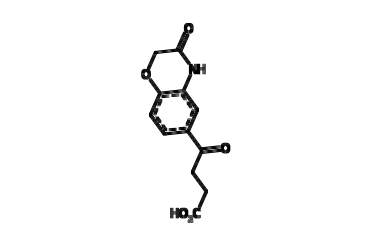 O=C(O)CCC(=O)c1ccc2c(c1)NC(=O)CO2